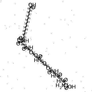 NC(CC(=O)O)C(=O)NCCC(=O)NCCNC(=O)COCCOCCNC(=O)COCCOCCNC(=O)CC[C@H](NC(=O)CCCCCCCCCCCCCCCCC(=O)O)C(=O)O